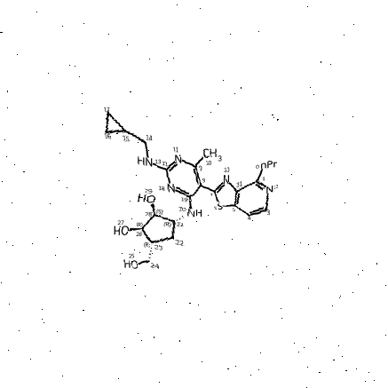 CCCc1nccc2sc(-c3c(C)nc(NCC4CC4)nc3N[C@@H]3C[C@H](CO)[C@@H](O)[C@H]3O)nc12